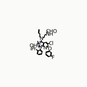 C=CCCN(CCNC=O)/C(=N/C)c1cc(Cl)c(Oc2cccc(F)c2)nc1N(C=O)c1ccccc1C(C)C